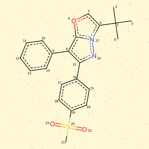 CC(C)(C)c1coc2c(-c3ccccc3)c(-c3ccc(S(C)(=O)=O)cc3)nn12